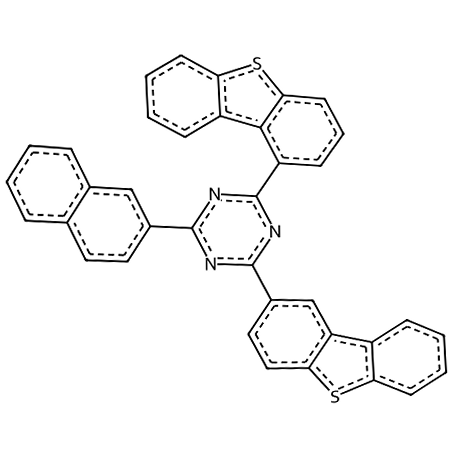 c1ccc2cc(-c3nc(-c4ccc5sc6ccccc6c5c4)nc(-c4cccc5sc6ccccc6c45)n3)ccc2c1